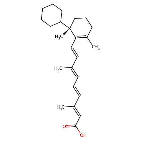 CC1=C(/C=C/C(C)=C/C=C/C(C)=C/C(=O)O)[C@](C)(C2CCCCC2)CCC1